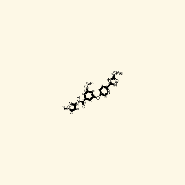 CSc1nc(-c2ccc(Oc3cc(OC(C)C)cc(C(=O)Nc4ccn(C)n4)c3)cn2)no1